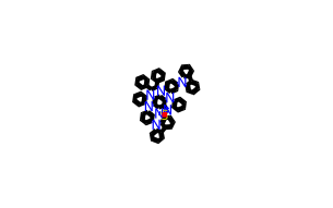 c1ccc(-c2nc3c(N(c4ccccc4)c4cccc(-n5c6ccccc6c6ccccc65)c4)c4nsnc4c(N(c4ccccc4)c4cccc(-n5c6ccccc6c6ccccc65)c4)c3nc2-c2ccccc2)cc1